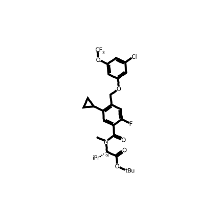 CC(C)[C@@H](C(=O)OC(C)(C)C)N(C)C(=O)c1cc(C2CC2)c(COc2cc(Cl)cc(OC(F)(F)F)c2)cc1F